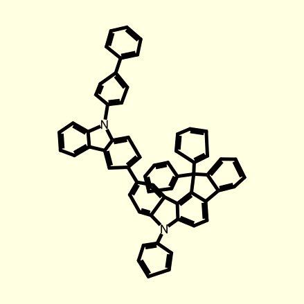 c1ccc(-c2ccc(-n3c4ccccc4c4cc(-c5ccc6c(c5)c5c7c(ccc5n6-c5ccccc5)-c5ccccc5C7(c5ccccc5)c5ccccc5)ccc43)cc2)cc1